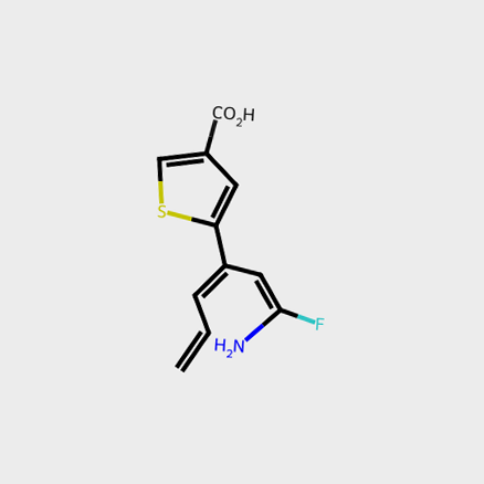 C=C/C=C(\C=C(/N)F)c1cc(C(=O)O)cs1